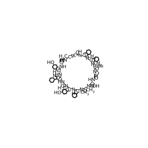 CCCC[C@H]1C(=O)N2CCC[C@@H]2C(=O)N[C@@H](CO)C(=O)N[C@@H](C)C(=O)N(C)[C@@H](Cc2ccccc2)C(=O)N[C@@H](Cc2ccc(O)cc2)C(=O)N(C)C(=O)N[C@@H](Cc2c[nH]c3ccccc23)C(=O)N[C@@H](Cc2ccc(O)cc2)C(=O)N[C@@H](CC(C)C)C(=O)N[C@H](C)CSCC(=O)N[C@@H](Cc2ccccc2)C(=O)N(C)[C@@H](Cc2ccccc2)C(=O)N1C